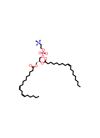 CCCCC/C=C\C/C=C\CCCCCCCC(=O)OC[C@H](COP(=O)([O-])OCC[N+](C)(C)C)OC(=O)CCCCCCC/C=C\CCCCCCCC